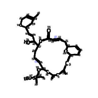 C=C1CC(C)CC2CC=CC(C/C=C/C(=O)OC(C(O)C=CC3CC(C)=CCO3)C/C=C/C(O[Si](C)(C)C(C)(C)C)C1)O2